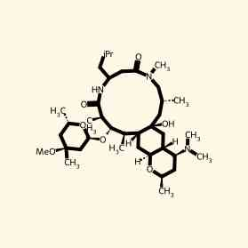 CO[C@]1(C)C[C@H](O[C@H]2[C@H](C)[C@H]3C[C@@H]4O[C@H](C)C[C@H](N(C)C)[C@H]4C[C@@]3(O)C[C@@H](C)CN(C)C(=O)CC(CC(C)C)NC(=O)[C@@H]2C)O[C@@H](C)C1